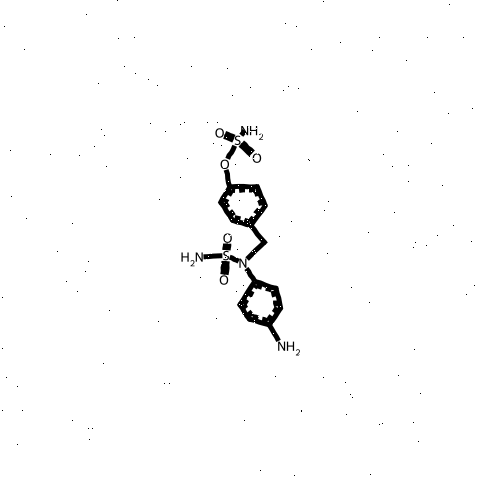 Nc1ccc(N(Cc2ccc(OS(N)(=O)=O)cc2)S(N)(=O)=O)cc1